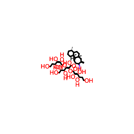 C=C1C[C@@]2(C)CCC3[C@@H](C)CCC[C@@]3(C)[C@@H]2CC(OC(O)/C(OC(O)/C(O)=C(\O)C(O)CCO)=C(\OC(O)/C(O)=C(/O)C(O)CCO)C(O)CCO)C1I